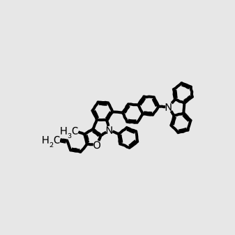 C=C/C=C\c1oc2c(c1C)c1cccc(-c3ccc4cc(-n5c6ccccc6c6ccccc65)ccc4c3)c1n2-c1ccccc1